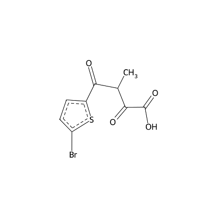 CC(C(=O)C(=O)O)C(=O)c1ccc(Br)s1